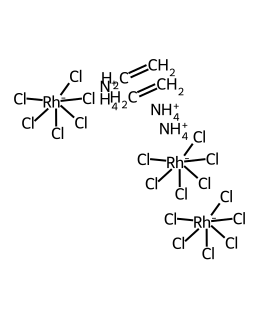 C=C.C=C.[Cl][Rh-]([Cl])([Cl])([Cl])([Cl])[Cl].[Cl][Rh-]([Cl])([Cl])([Cl])([Cl])[Cl].[Cl][Rh-]([Cl])([Cl])([Cl])([Cl])[Cl].[NH4+].[NH4+].[NH4+]